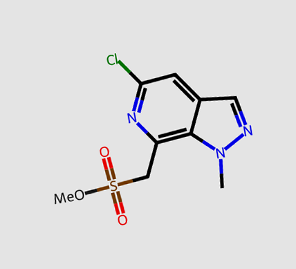 COS(=O)(=O)Cc1nc(Cl)cc2cnn(C)c12